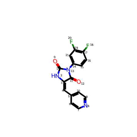 O=C1NC(=Cc2ccncc2)C(=O)N1c1ccc(F)c(F)c1